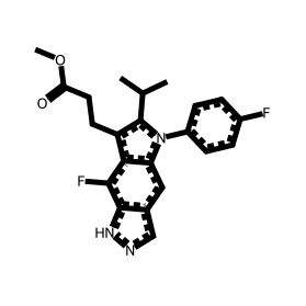 COC(=O)CCc1c(C(C)C)n(-c2ccc(F)cc2)c2cc3cn[nH]c3c(F)c12